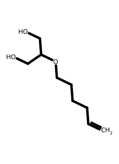 C=CCCCCOC(CO)CO